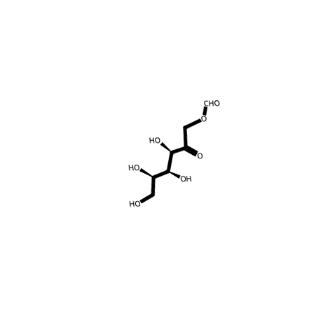 O=COCC(=O)[C@H](O)[C@@H](O)[C@H](O)CO